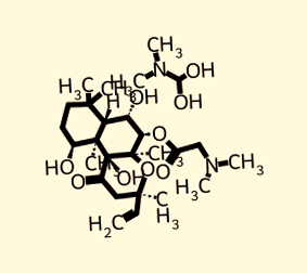 C=C[C@@]1(C)CC(=O)[C@]2(O)[C@@]3(C)[C@@H](O)CCC(C)(C)[C@@H]3[C@H](O)[C@H](OC(=O)CN(C)C)[C@@]2(C)O1.CN(C)C(O)O